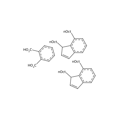 CCCCCCCCc1cccc2c1C(CCCCCCCC)C=C2.CCCCCCCCc1cccc2c1C(CCCCCCCC)C=C2.O=C(O)c1ccccc1C(=O)O